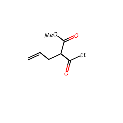 C=CCC(C(=O)CC)C(=O)OC